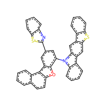 c1ccc2c(c1)ccc1oc3c(-n4c5ccccc5c5cc6sc7ccccc7c6cc54)cc(-c4nc5ccccc5s4)cc3c12